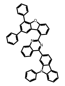 c1ccc(-c2cc(-c3ccccc3)c3oc4cccc(-c5nc(-c6ccc7c8ccccc8n(-c8ccccc8)c7c6)c6ccccc6n5)c4c3c2)cc1